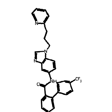 O=C(Nc1ccc2c(c1)ncn2CCCc1ccccn1)c1ccccc1-c1ccc(C(F)(F)F)cc1